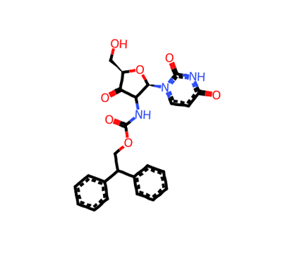 O=C(NC1C(=O)[C@@H](CO)O[C@H]1n1ccc(=O)[nH]c1=O)OCC(c1ccccc1)c1ccccc1